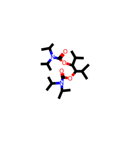 CC(C)C(OC(=O)N(C(C)C)C(C)C)C(OC(=O)N(C(C)C)C(C)C)C(C)C